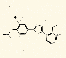 [C-]#[N+]c1cc(-c2ncc(-c3ccnc(Cl)c3CC)s2)ccc1OC(C)C